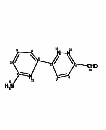 Nc1cccc(-c2ccc(C=O)nn2)n1